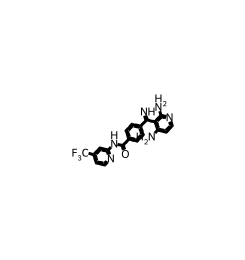 N=C(c1ccc(C(=O)Nc2cc(C(F)(F)F)ccn2)cc1)c1c(N)ccnc1N